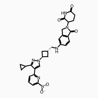 O=C1CCC(N2Cc3cc(NC[C@H]4C[C@H](n5cc(-c6cccc([N+](=O)[O-])n6)c(C6CC6)n5)C4)ccc3C2=O)C(=O)N1